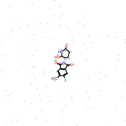 Cc1cc2c(cc1F)C(=O)N([C@H]1CCC(=O)NC1O)C2=O